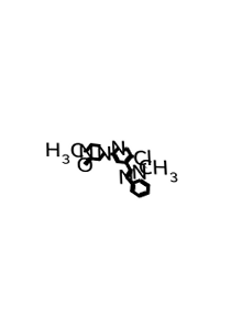 CN1CCN(c2cc(-c3nc4ccccc4n3C)c(Cl)cn2)CC1=O